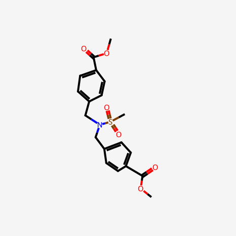 COC(=O)c1ccc(CN(Cc2ccc(C(=O)OC)cc2)S(C)(=O)=O)cc1